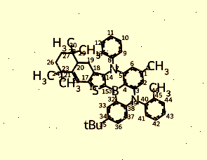 Cc1cc2c3c(c1)N(c1ccccc1)c1c(sc4c1CC1C(=C4)C(C)(C)CCC1(C)C)B3c1cc(C(C)(C)C)ccc1N2c1ccccc1C